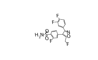 NS(=O)(=O)c1ccc(-c2c(-c3ccc(F)c(F)c3)noc2CF)cc1F